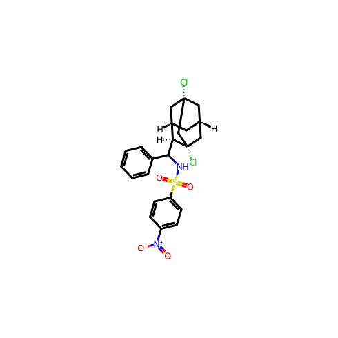 O=[N+]([O-])c1ccc(S(=O)(=O)NC(c2ccccc2)[C@H]2[C@H]3C[C@@H]4C[C@](Cl)(C3)C[C@@]2(Cl)C4)cc1